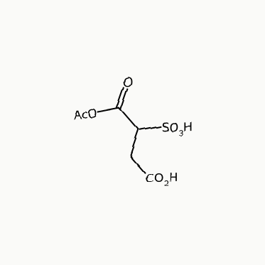 CC(=O)OC(=O)C(CC(=O)O)S(=O)(=O)O